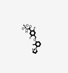 Cc1c(OCc2cc(F)c(C(=O)NS(C)(=O)=O)cc2F)cccc1-n1cccn1